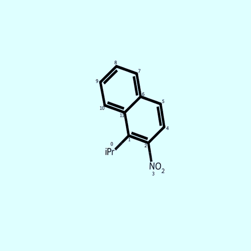 CC(C)c1c([N+](=O)[O-])ccc2ccccc12